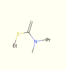 C=C(SCC)N(C)C(C)C